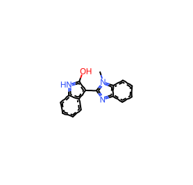 Cn1c(-c2c(O)[nH]c3ccccc23)nc2ccccc21